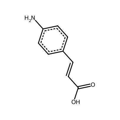 Nc1ccc(C=CC(=O)O)cc1